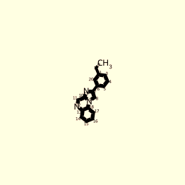 CCc1cccc(-c2cn3c(cnc4ccccc43)n2)c1